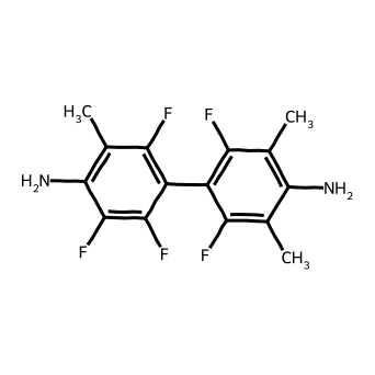 Cc1c(N)c(C)c(F)c(-c2c(F)c(C)c(N)c(F)c2F)c1F